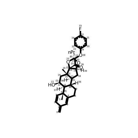 C=C1C=C[C@@]2(C)C(=C1)CC[C@@H]1[C@@H]2[C@@H](O)C[C@@]2(C)[C@H]1C[C@@H]1O[C@@H](CCC)O[C@]12C(=O)COc1ccc(F)cc1